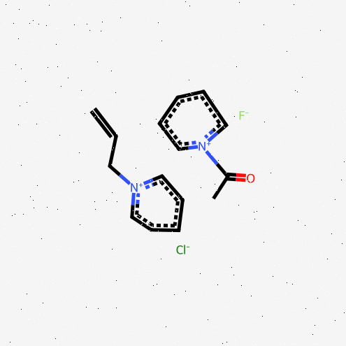 C=CC[n+]1ccccc1.CC(=O)[n+]1ccccc1.[Cl-].[F-]